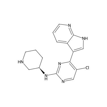 Clc1cnc(N[C@@H]2CCCNC2)nc1-c1c[nH]c2ncccc12